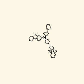 CC1(C)c2ccccc2-c2ccc(N(c3ccc(-c4ccccc4)cc3)c3ccc(-c4ccc5c(c4)[Si](C)(C)c4ccccc4O5)cc3)cc21